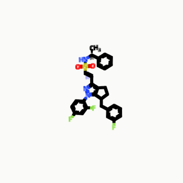 C[C@@H](NS(=O)(=O)/C=C/c1nn(-c2ccc(F)cc2F)c2c1CCC2Cc1cccc(F)c1)c1ccccc1